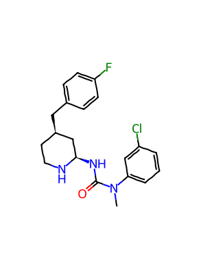 CN(C(=O)N[C@@H]1C[C@H](Cc2ccc(F)cc2)CCN1)c1cccc(Cl)c1